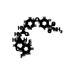 NS(=O)(=O)c1ccc(Oc2ccc(NC(=O)N[C@@H]3[C@@H]4COc5c(F)ccc(F)c5[C@@H]43)nc2)cc1